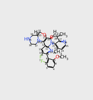 COc1cccc(F)c1-c1nc2c(cc1F)c1c(c(=O)n2-c2c(C)ccnc2C(C)C)OC[C@@H]2CNCCN12